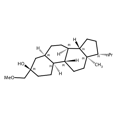 CCC[C@H]1CC[C@H]2[C@@H]3CC[C@@H]4C[C@@](O)(COC)CC[C@@H]4[C@H]3CC[C@]12C